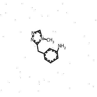 Cn1cnnc1Cc1cccc(N)c1